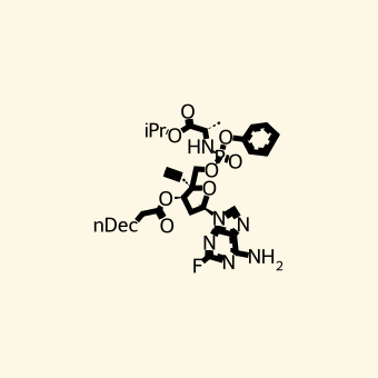 C#C[C@]1(CO[P@@](=O)(N[C@@H](C)C(=O)OC(C)C)Oc2ccccc2)O[C@@H](n2cnc3c(N)nc(F)nc32)C[C@@H]1OC(=O)CCCCCCCCCCC